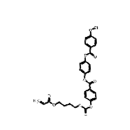 C=CC(=O)OCCCCOC(=O)Oc1ccc(C(=O)Oc2ccc(OC(=O)c3ccc(OCC)cc3)cc2)cc1